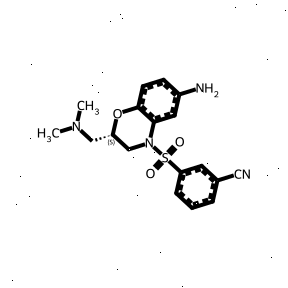 CN(C)C[C@H]1CN(S(=O)(=O)c2cccc(C#N)c2)c2cc(N)ccc2O1